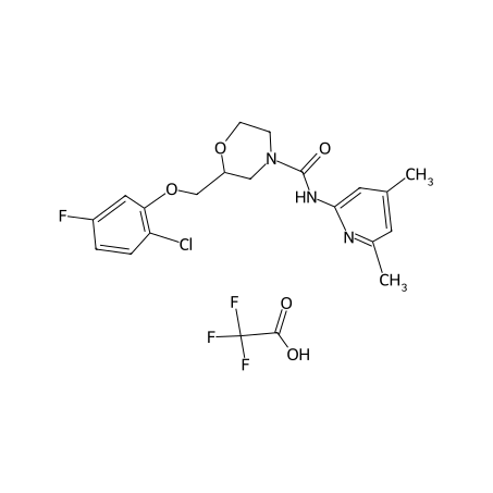 Cc1cc(C)nc(NC(=O)N2CCOC(COc3cc(F)ccc3Cl)C2)c1.O=C(O)C(F)(F)F